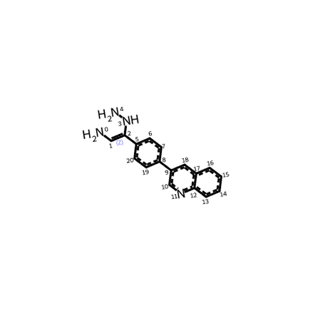 N/C=C(\NN)c1ccc(-c2cnc3ccccc3c2)cc1